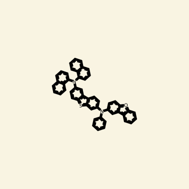 c1ccc(N(c2ccc3c(c2)sc2ccc(N(c4cccc5ccccc45)c4cccc5ccccc45)cc23)c2ccc3oc4ccccc4c3c2)cc1